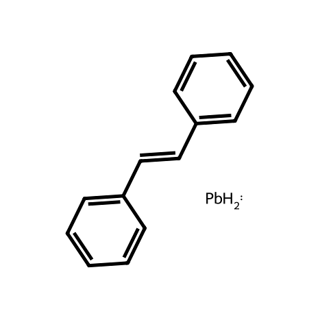 C(=Cc1ccccc1)c1ccccc1.[PbH2]